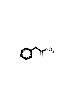 O=[N+]([O-])N[C]c1ccccc1